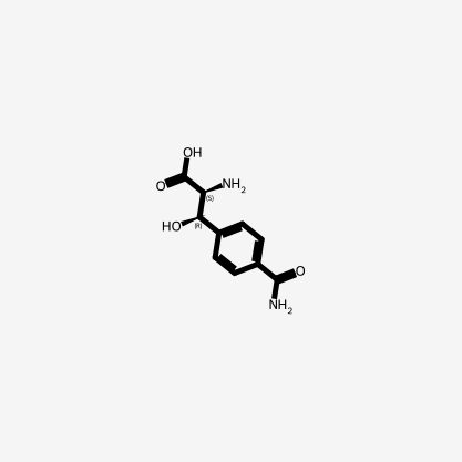 NC(=O)c1ccc([C@@H](O)[C@H](N)C(=O)O)cc1